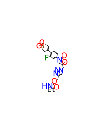 CCNC(=O)OCc1cn(C[C@H]2CN(c3ccc(C4=CCS(=O)(=O)CC4)c(F)c3)C(=O)O2)nn1